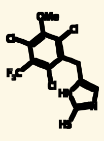 COc1c(Cl)c(Cc2cnc(S)[nH]2)c(Cl)c(C(F)(F)F)c1Cl